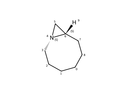 C1CCC[N@]2C[C@@H]2CC1